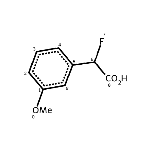 COc1cccc(C(F)C(=O)O)c1